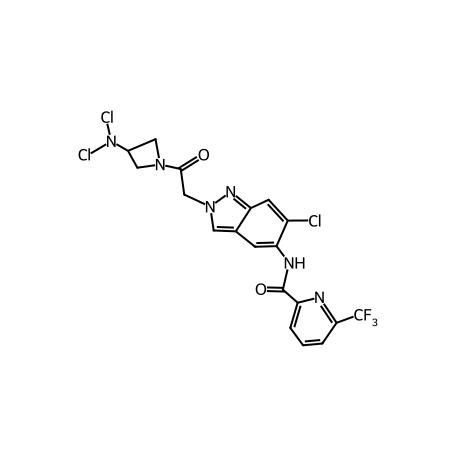 O=C(Nc1cc2cn(CC(=O)N3CC(N(Cl)Cl)C3)nc2cc1Cl)c1cccc(C(F)(F)F)n1